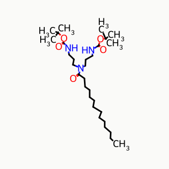 CCCCCCCCCCCCCC(=O)N(CCCNC(=O)OC(C)(C)C)CCCNC(=O)OC(C)(C)C